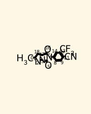 CC1=NN2C(=O)N(c3ccc(C#N)c(C(F)(F)F)c3)C(=O)C2C1